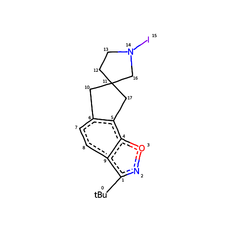 CC(C)(C)c1noc2c3c(ccc12)CC1(CCN(I)C1)C3